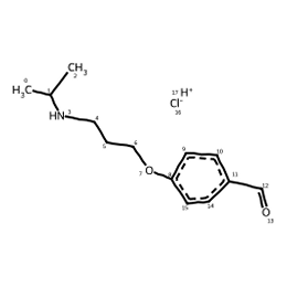 CC(C)NCCCOc1ccc(C=O)cc1.[Cl-].[H+]